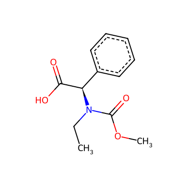 CCN(C(=O)OC)[C@@H](C(=O)O)c1ccccc1